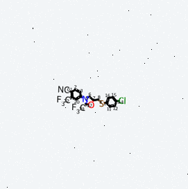 N#Cc1ccc(N2CC(CSc3ccc(Cl)cc3)OC2C(F)(F)F)cc1C(F)(F)F